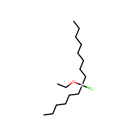 CCCCCCCC[Si](Cl)(CCCCCC)OCC